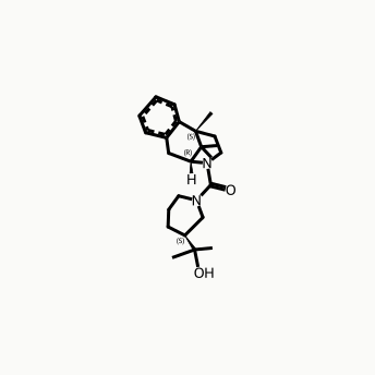 CC(C)(O)[C@H]1CCCN(C(=O)N2CC[C@@]3(C)c4ccccc4C[C@@H]2C3(C)C)C1